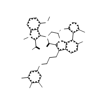 COc1cccc2c1c(N1C[C@@H](C)n3c(c(CCCOc4cc(C)c(Cl)c(C)c4)c4ccc(Cl)c(-c5c(C)n[nH]c5C)c43)C1=O)c(C(=O)O)n2C